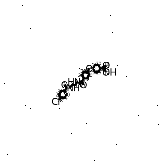 O=C(NCCNC(=O)c1ccc(OC2CCC(C(=O)O)CC2)cc1)c1ccc(Cl)cc1